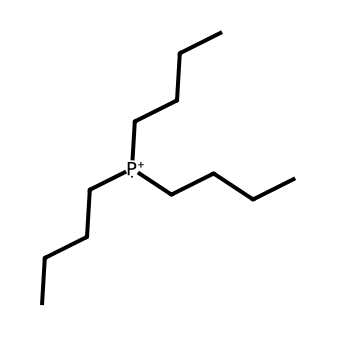 CCCC[P+](CCCC)CCCC